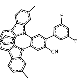 Cc1ccc2c3ccccc3n(-c3cc(C#N)c(-c4cc(F)cc(F)c4)cc3-n3c4ccccc4c4ccc(C)cc43)c2c1